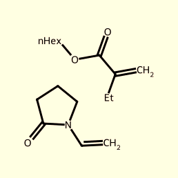 C=C(CC)C(=O)OCCCCCC.C=CN1CCCC1=O